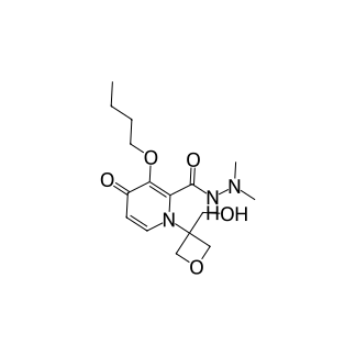 CCCCOc1c(C(=O)NN(C)C)n(C2(CO)COC2)ccc1=O